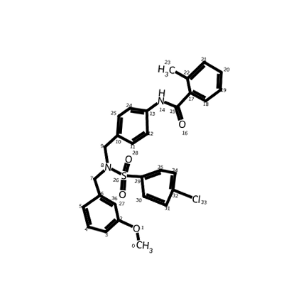 COc1cccc(CN(Cc2ccc(NC(=O)c3ccccc3C)cc2)S(=O)(=O)c2ccc(Cl)cc2)c1